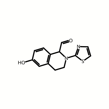 O=CC1c2ccc(O)cc2CCN1c1nccs1